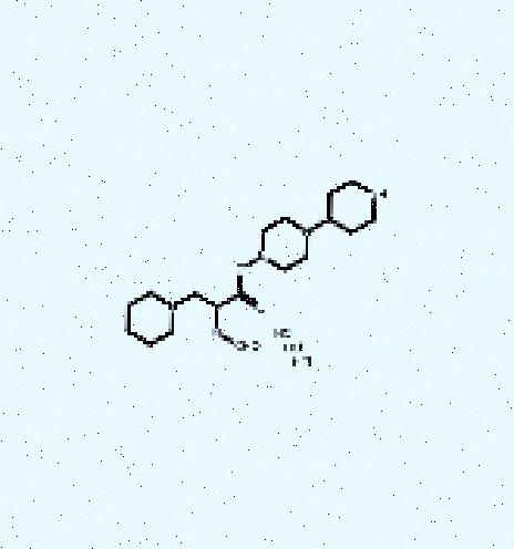 Cl.Cl.Cl.O=CNC(CN1CCCCC1)C(=O)ON1CCN(C2CCNCC2)CC1